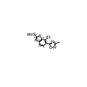 CCc1c(-c2nc(C)no2)cnc2nc(SC)sc12